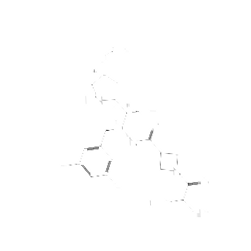 CCCCO[C@H]1CN[C@@H]([C@@H](O)[C@H](Cc2cc(F)cc(F)c2)NC(=O)C2CN(C(=O)C(CCC)CCC)C2)C1